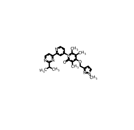 Cc1c(OCc2ccn(C)n2)c(C)c(=O)n(-c2ccnc(-c3ccnc(C(C)C)n3)c2)c1C